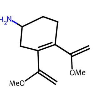 C=C(OC)C1=C(C(=C)OC)CC(N)CC1